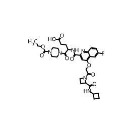 CCOC(=O)N1CCN(C(=O)C(CCC(=O)O)NC(=O)c2cc(OCC(=O)N3CCC3C(=O)NC3CCC3)c3cc(F)ccc3n2)CC1